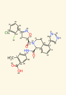 Cc1cc(NC(=O)[C@@H]2c3cccc(-c4cncnc4)c3CCN2C(=O)[C@H]2CC(c3cccc(Cl)c3F)=NO2)ccc1C(=O)O